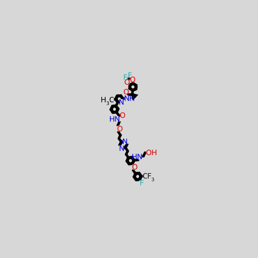 Cc1ccc(NC(=O)C2(c3ccc4c(c3)OC(F)(F)O4)CC2)nc1-c1cccc(C(=O)NCCOCCCc2cnc(CCc3ccc(OCc4ccc(F)c(C(F)(F)F)c4)c(CNCCO)c3)cn2)c1